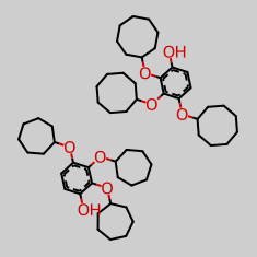 Oc1ccc(OC2CCCCCC2)c(OC2CCCCCC2)c1OC1CCCCCC1.Oc1ccc(OC2CCCCCCC2)c(OC2CCCCCCC2)c1OC1CCCCCCC1